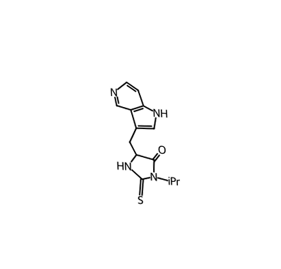 CC(C)N1C(=O)C(Cc2c[nH]c3ccncc23)NC1=S